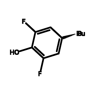 CC[C@@H](C)c1cc(F)c(O)c(F)c1